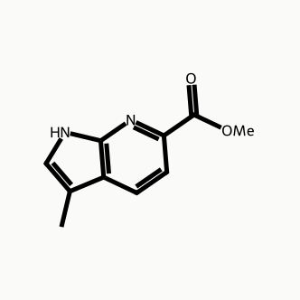 COC(=O)c1ccc2c(C)c[nH]c2n1